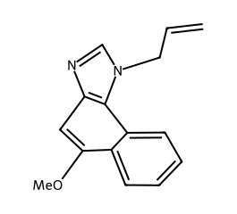 C=CCn1cnc2cc(OC)c3ccccc3c21